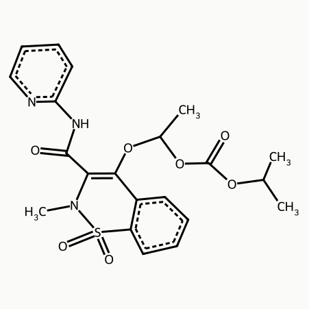 CC(C)OC(=O)OC(C)OC1=C(C(=O)Nc2ccccn2)N(C)S(=O)(=O)c2ccccc21